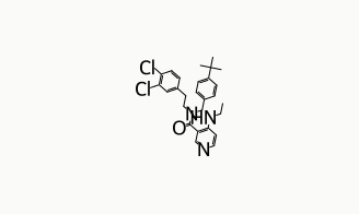 CCNc1ccncc1C(=O)N(CCc1ccc(Cl)c(Cl)c1)Cc1ccc(C(C)(C)C)cc1